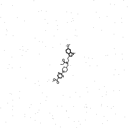 CCC(=O)N(CCc1cn(C)c2cc(OC)ccc12)CC1CCN(c2ncc(C(=O)OC)cn2)CC1